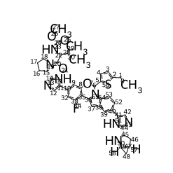 CCc1ccc(C2Oc3cc(-c4cnc([C@@H]5CCCN5C(=O)[C@@H](NC(=O)OC)C(C)C)[nH]4)cc(F)c3-c3cc4cc(-c5cnc([C@@H]6C[C@H]7C[C@H]7N6)[nH]5)ccc4n32)s1